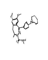 CNC(=O)N1N=C(c2ccc(N3CCCCC3)cc2)c2cc(OC)c(OC)cc2CC1C